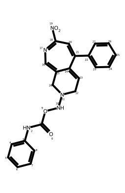 O=C(Nc1ccccc1)ONN1CC=C2C(=CN=C([N+](=O)[O-])C=C2c2ccccc2)C1